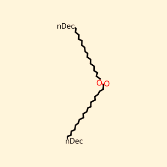 CCCCCCCCCCCCCCCCCCCCCCCCCCCCC(=O)OCCCCCCCCCCCCCCCCCCCCCCCCCCC